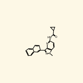 Cn1nc(-c2ccc3ccccc3c2)c2nc(NC(=O)C3CC3)ccc21